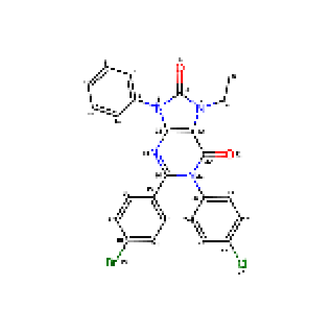 CCn1c(=O)n(-c2ccccc2)c2nc(-c3ccc(Br)cc3)n(-c3ccc(Cl)cc3)c(=O)c21